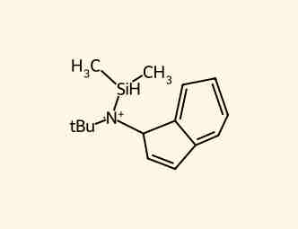 C[SiH](C)[N+](C1C=Cc2ccccc21)C(C)(C)C